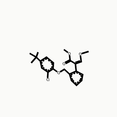 COC=C(C(=O)OC)c1ccccc1COc1ccc(C(C)(C)C)cc1Cl